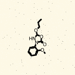 CCCOC1NN(c2ccccc2OC)C(=O)O1